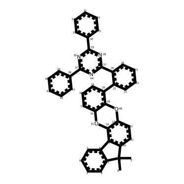 CC1(C)c2ccccc2-c2c1ccc1c2Oc2cccc(-c3ccccc3-c3nc(-c4ccccc4)nc(-c4ccccc4)n3)c2O1